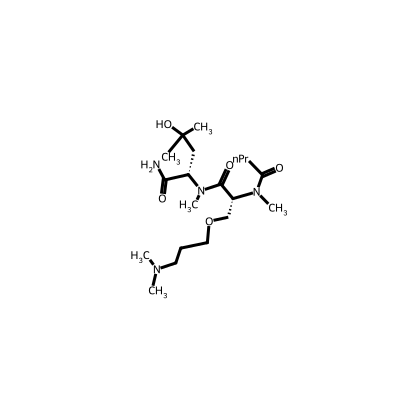 CCCC(=O)N(C)[C@H](COCCCN(C)C)C(=O)N(C)[C@@H](CC(C)(C)O)C(N)=O